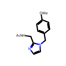 COc1ccc(Cn2ccnc2CNC(C)=O)cc1